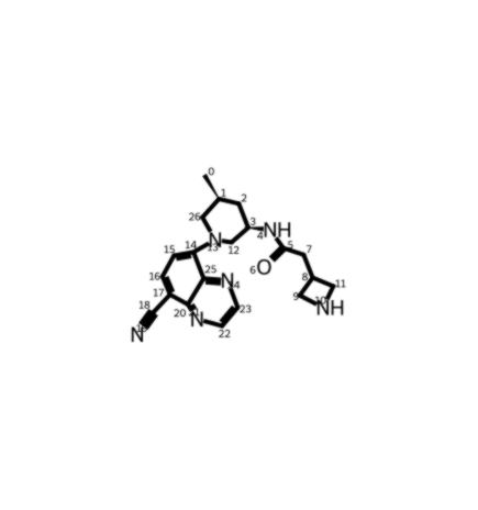 C[C@H]1C[C@@H](NC(=O)CC2CNC2)CN(c2ccc(C#N)c3nccnc23)C1